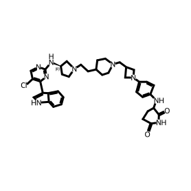 O=C1CCC(Nc2ccc(N3CC(CN4CCC(CCN5CC[C@@H](Nc6ncc(Cl)c(-c7c[nH]c8ccccc78)n6)C5)CC4)C3)cc2)C(=O)N1